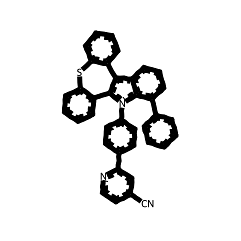 N#Cc1ccnc(-c2ccc(-n3c4c(c5cccc(-c6ccccc6)c53)-c3ccccc3Sc3ccccc3-4)cc2)c1